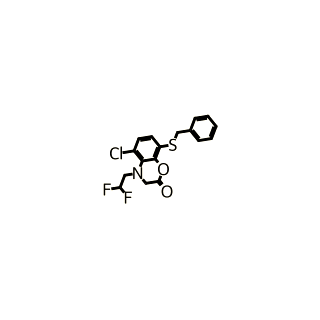 O=C1CN(CC(F)F)c2c(Cl)ccc(SCc3ccccc3)c2O1